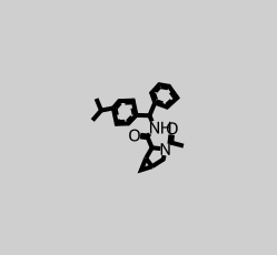 CC(=O)N1CC2CC2C1C(=O)NC(c1ccccc1)c1ccc(C(C)C)cc1